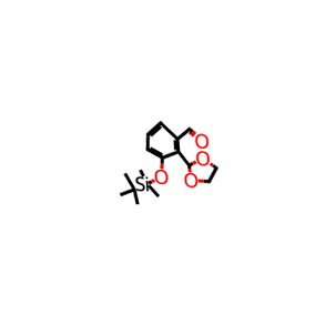 CC(C)(C)[Si](C)(C)Oc1cccc(C=O)c1C1OCCO1